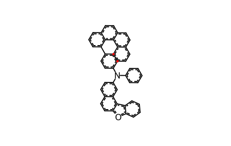 c1ccc(N(c2ccc(-c3cccc4ccc5ccc6ccccc6c5c34)cc2)c2ccc3ccc4oc5ccccc5c4c3c2)cc1